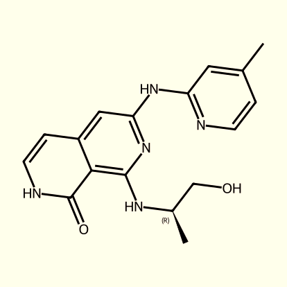 Cc1ccnc(Nc2cc3cc[nH]c(=O)c3c(N[C@H](C)CO)n2)c1